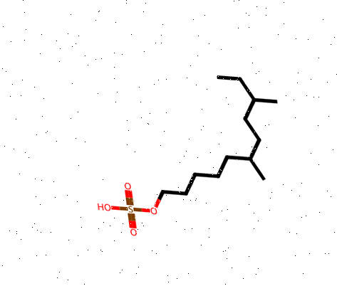 CCC(C)CCC(C)CCCCCOS(=O)(=O)O